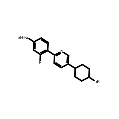 CCCCCCc1ccc(-c2ccc(C3CCC(CCC)CC3)cn2)c(F)c1